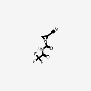 N#CC1CN1C(=O)NC(=O)C(F)(F)F